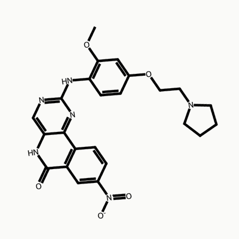 COc1cc(OCCN2CCCC2)ccc1Nc1ncc2[nH]c(=O)c3cc([N+](=O)[O-])ccc3c2n1